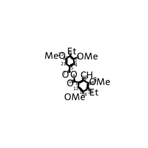 CCc1c(OC)cc(C(=O)OC(=O)c2cc(OC)c(CC)c(OC)c2C)cc1OC